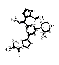 C=Nc1[nH]ccc1/C(=C\C)c1nc(C2CCN(C(=O)C(C)C)C2)cc(N2CCOC[C@H]2C)n1